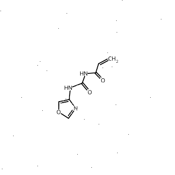 C=CC(=O)NC(=O)Nc1cocn1